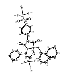 O=C1[C@H](Cc2ccccn2)[N+](Cc2ccnc3ccccc23)(OC(=O)C(F)(F)F)C(=O)N1c1ccc(S(=O)(=O)C(F)(F)F)cc1